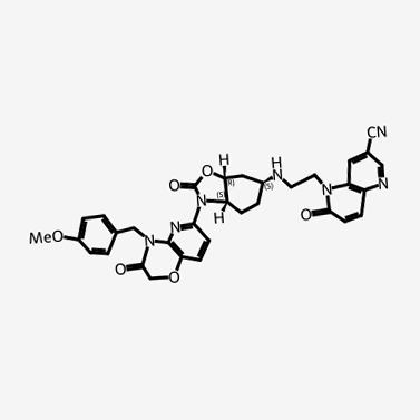 COc1ccc(CN2C(=O)COc3ccc(N4C(=O)O[C@@H]5C[C@@H](NCCn6c(=O)ccc7ncc(C#N)cc76)CC[C@@H]54)nc32)cc1